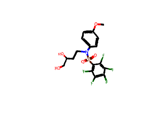 COc1ccc(N(CCC(O)CO)S(=O)(=O)c2c(F)c(F)c(F)c(F)c2F)cc1